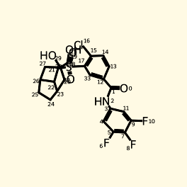 O=C(Nc1cc(F)c(F)c(F)c1)c1ccc(Cl)c(S(=O)(=O)CC2C3CCC2CC(O)(CO)C3)c1